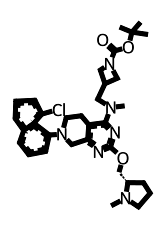 CN(CC1CN(C(=O)OC(C)(C)C)C1)c1nc(OC[C@@H]2CCCN2C)nc2c1CCN(c1cccc3cccc(Cl)c13)C2